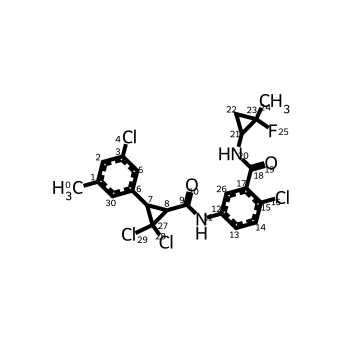 Cc1cc(Cl)cc(C2C(C(=O)Nc3ccc(Cl)c(C(=O)NC4CC4(C)F)c3)C2(Cl)Cl)c1